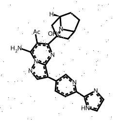 CC(=O)c1c(C2CC3CC[C@@H](C2)N3C=O)nc2c(-c3ccc(-c4ncc[nH]4)nc3)cnn2c1N